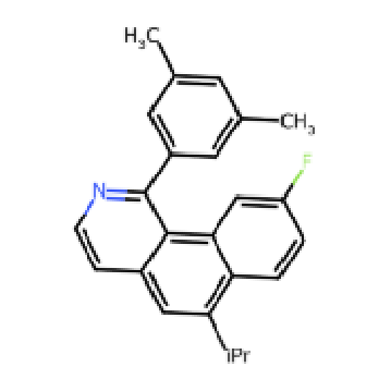 Cc1cc(C)cc(-c2nccc3cc(C(C)C)c4ccc(F)cc4c23)c1